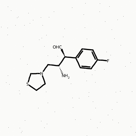 N[C@H](CN1CCSC1)[C@@H](C=O)c1ccc(F)cc1